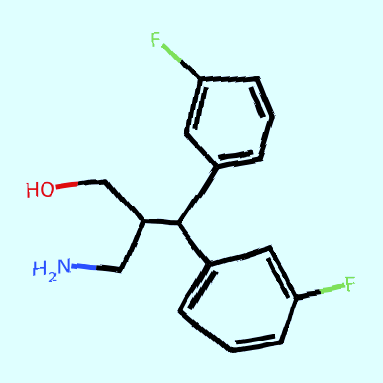 NCC(CO)C(c1cccc(F)c1)c1cccc(F)c1